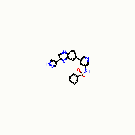 O=S(=O)(Nc1cncc(-c2ccc3ncc(-c4cn[nH]c4)nc3c2)c1)c1ccccc1